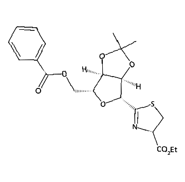 CCOC(=O)C1CSC([C@@H]2O[C@H](COC(=O)c3ccccc3)[C@H]3OC(C)(C)O[C@H]32)=N1